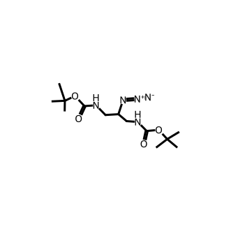 CC(C)(C)OC(=O)NCC(CNC(=O)OC(C)(C)C)N=[N+]=[N-]